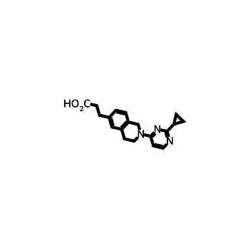 O=C(O)CCc1ccc2c(c1)CCN(c1ccnc(C3CC3)n1)C2